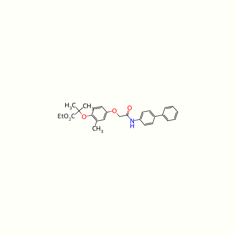 CCOC(=O)C(C)(C)Oc1ccc(OCC(=O)Nc2ccc(-c3ccccc3)cc2)cc1C